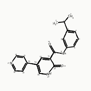 CC(C)c1cccc(NC(=O)c2cc(-c3ccncc3)c[nH]c2=O)c1